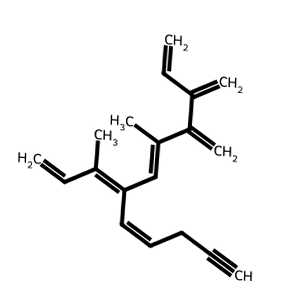 C#CC\C=C/C(/C=C(\C)C(=C)C(=C)C=C)=C(/C)C=C